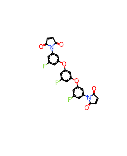 O=C1C=CC(=O)N1c1cc(F)cc(Oc2cc(F)cc(Oc3cc(F)cc(N4C(=O)C=CC4=O)c3)c2)c1